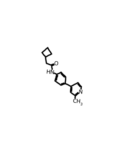 Cc1cc(-c2ccc(NC(=O)CC3CCC3)cc2)ccn1